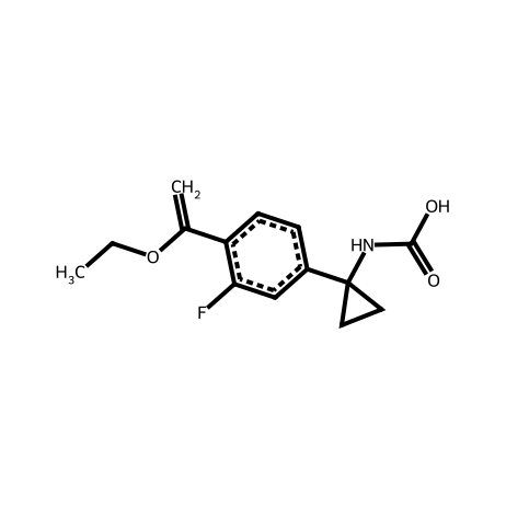 C=C(OCC)c1ccc(C2(NC(=O)O)CC2)cc1F